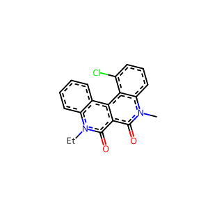 CCn1c(=O)c2c(=O)n(C)c3cccc(Cl)c3c2c2ccccc21